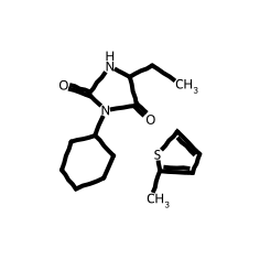 CCC1NC(=O)N(C2CCCCC2)C1=O.Cc1cccs1